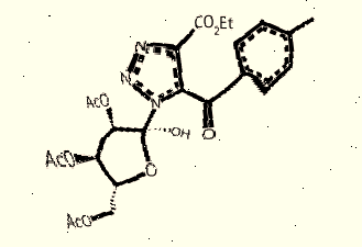 CCOC(=O)c1nnn([C@@]2(O)O[C@H](COC(C)=O)[C@@H](OC(C)=O)[C@H]2OC(C)=O)c1C(=O)c1ccc(C)cc1